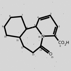 O=C(O)C1=CC=CC2C3CCCCC3CCC(=O)N12